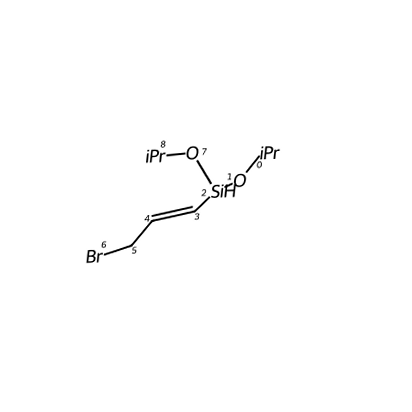 CC(C)O[SiH](C=CCBr)OC(C)C